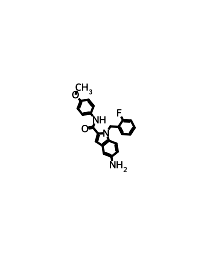 COc1ccc(NC(=O)c2cc3cc(N)ccc3n2Cc2ccccc2F)cc1